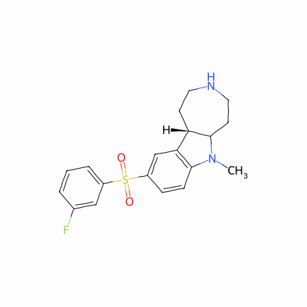 CN1c2ccc(S(=O)(=O)c3cccc(F)c3)cc2[C@@H]2CCNCCC21